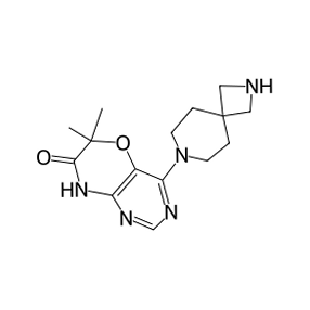 CC1(C)Oc2c(ncnc2N2CCC3(CC2)CNC3)NC1=O